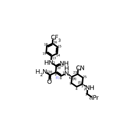 CC(C)CN[C@H]1CC[C@@H](N/C=C(\C(=N)Nc2ccc(C(F)(F)F)cc2)C(N)=O)C(C#N)C1